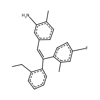 CCc1ccccc1/C(=C/c1ccc(C)c(N)c1)c1ccc(F)cc1C